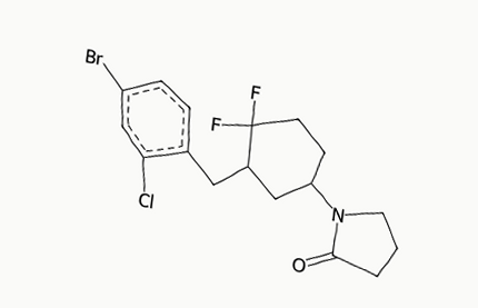 O=C1CCCN1C1CCC(F)(F)C(Cc2ccc(Br)cc2Cl)C1